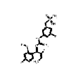 C=C(/N=C(\C(F)=C/N)c1ccc(F)cc1OCC)Nc1cc(F)cc(CS(C)(=N)=O)c1